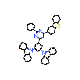 c1ccc(-c2nc(-c3cc(-n4c5ccccc5c5ccccc54)cc(-n4c5ccccc5c5ccccc54)c3)cc(-c3ccc4sc5ccccc5c4c3)n2)cc1